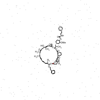 CO[C@@H]1C[C@H](C[C@@H](C)[C@@H]2CC(=O)[C@H](C)/C=C(\C)[C@@H](O)CC(=O)[C@H](C)C[C@H](C)/C=C/C=C/C=C(\C)C(OCCc3ccccc3)C[C@@H]3CC[C@@H](C)[C@@](O)(O3)C(=O)C(=O)N3CCCCC3C(=O)O2)CC[C@H]1OC(=O)NCCN1CCOCC1